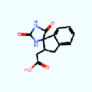 O=C(O)CC1Cc2ccccc2C12NC(=O)NC2=O